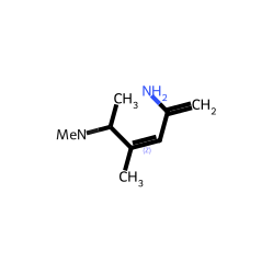 C=C(N)/C=C(/C)C(C)NC